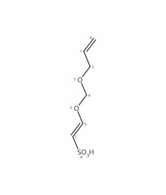 C=CCOCO/C=C/S(=O)(=O)O